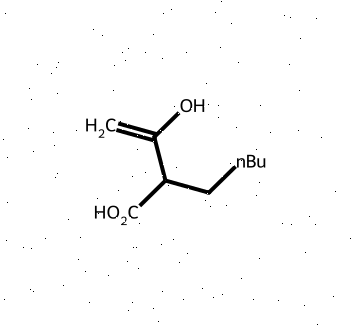 C=C(O)C(CCCCC)C(=O)O